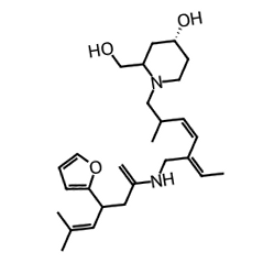 C=C(CC(C=C(C)C)c1ccco1)NCC(/C=C\C(C)CN1CC[C@@H](O)CC1CO)=C/C